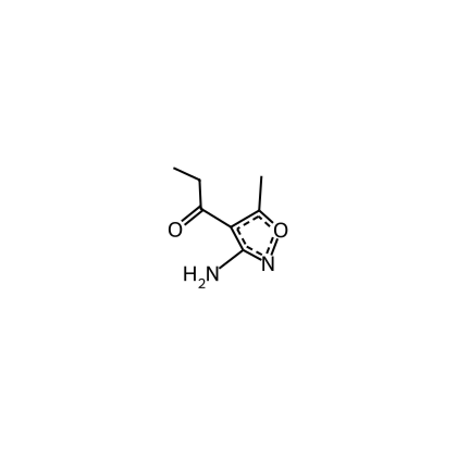 CCC(=O)c1c(N)noc1C